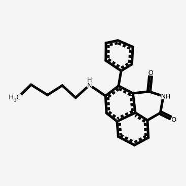 CCCCCNc1cc2cccc3c2c(c1-c1ccccc1)C(=O)NC3=O